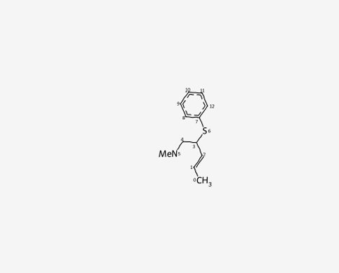 CC=CC(CNC)Sc1cc[c]cc1